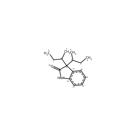 CCC(C)C1(C(C)CC)C(=O)Nc2ccccc21